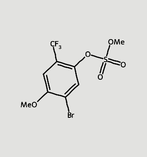 COc1cc(C(F)(F)F)c(OS(=O)(=O)OC)cc1Br